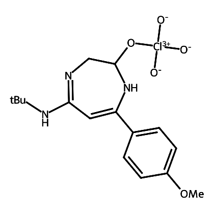 COc1ccc(C2=CC(NC(C)(C)C)=NCC(O[Cl+3]([O-])([O-])[O-])N2)cc1